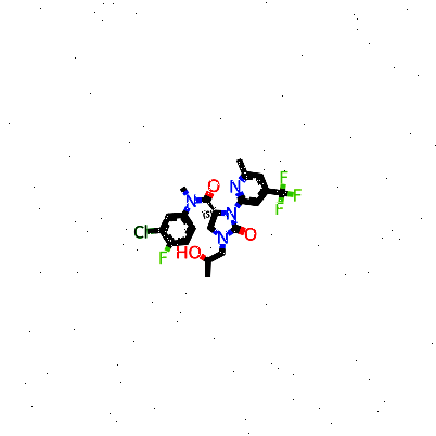 Cc1cc(C(F)(F)F)cc(N2C(=O)N(CC(C)O)C[C@H]2C(=O)N(C)c2ccc(F)c(Cl)c2)n1